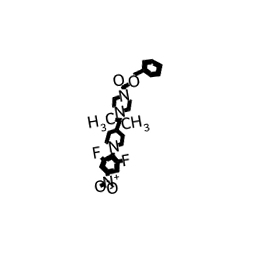 CC(C)(C1CCN(c2c(F)cc([N+](=O)[O-])cc2F)CC1)N1CCN(C(=O)OCc2ccccc2)CC1